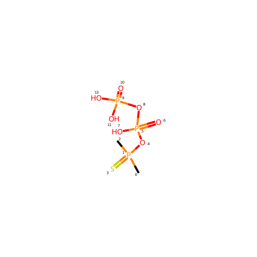 CP(C)(=S)OP(=O)(O)OP(=O)(O)O